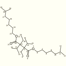 CCC(C(=O)OCCCCCC(C)C)(C(C)C)C(CC)(C(=O)OCCCCCC(C)C)C(C)C